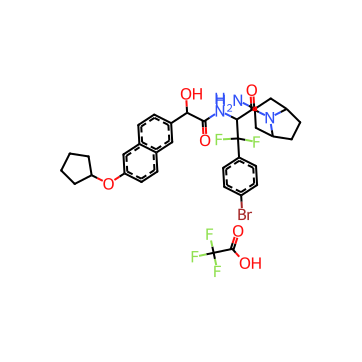 NC1CC2CCC(C1)N2C(=O)C(NC(=O)C(O)c1ccc2cc(OC3CCCC3)ccc2c1)C(F)(F)c1ccc(Br)cc1.O=C(O)C(F)(F)F